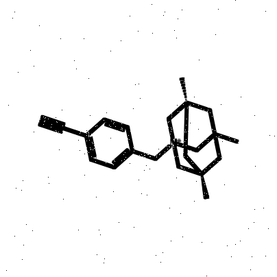 C#Cc1ccc(C[N+]23CC4(C)C[C@](C)(C2)C[C@](C)(C4)C3)cc1